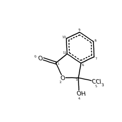 O=C1OC(O)(C(Cl)(Cl)Cl)c2ccccc21